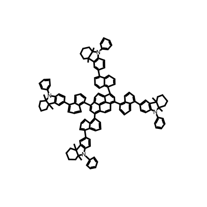 CC12CCCCC1(C)N(c1ccccc1)c1ccc(-c3cccc4c(-c5cc(-c6cccc7c(-c8ccc9c(c8)C8(C)CCCCC8(C)N9c8ccccc8)cccc67)c6ccc7c(-c8cccc9c(-c%10ccc%11c(c%10)C%10(C)CCCCC%10(C)N%11c%10ccccc%10)cccc89)cc(-c8cccc9c(-c%10ccc%11c(c%10)C%10(C)CCCCC%10(C)N%11c%10ccccc%10)cccc89)c8ccc5c6c87)cccc34)cc12